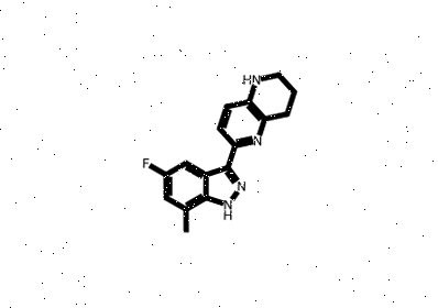 Cc1cc(F)cc2c(-c3ccc4c(n3)CCCN4)n[nH]c12